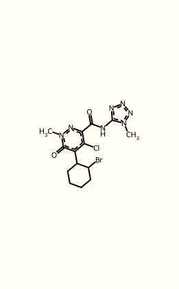 Cn1nnnc1NC(=O)c1nn(C)c(=O)c(C2CCCCC2Br)c1Cl